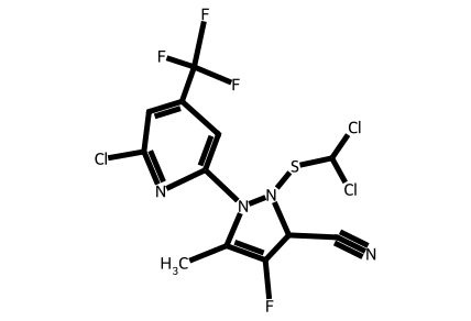 CC1=C(F)C(C#N)N(SC(Cl)Cl)N1c1cc(C(F)(F)F)cc(Cl)n1